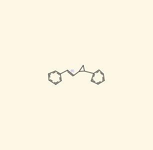 C(=C\C1CC1c1ccccc1)/c1ccccc1